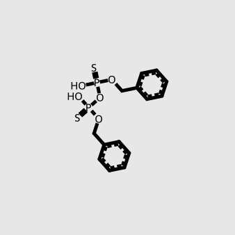 OP(=S)(OCc1ccccc1)OP(O)(=S)OCc1ccccc1